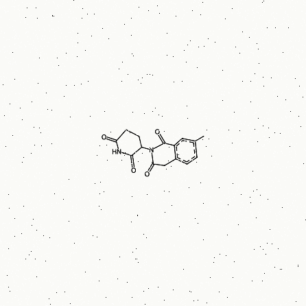 Cc1ccc2c(c1)C(=O)N(C1CCC(=O)NC1=O)C(=O)C2